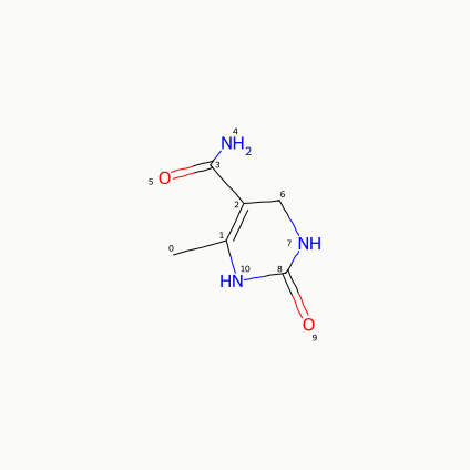 CC1=C(C(N)=O)CNC(=O)N1